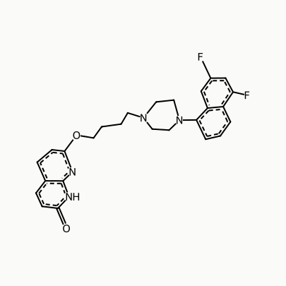 O=c1ccc2ccc(OCCCCN3CCN(c4cccc5c(F)cc(F)cc45)CC3)nc2[nH]1